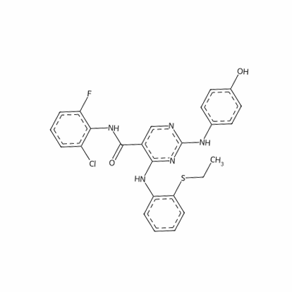 CCSc1ccccc1Nc1nc(Nc2ccc(O)cc2)ncc1C(=O)Nc1c(F)cccc1Cl